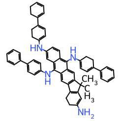 CC1(C)C2=C(CCC(N)=C2)c2cc3c(Nc4ccc(-c5ccccc5)cc4)c4cc(NC5=CC=C(C6=CC=CCC6)CC5)ccc4c(NC4=CC=C(c5ccccc5)CC4)c3cc21